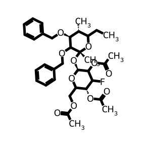 CCC1O[C@](C)(O[C@@H]2OC(COC(C)=O)[C@@H](OC(C)=O)C(F)C2OC(C)=O)C(OCc2ccccc2)[C@@H](OCc2ccccc2)[C@@H]1C